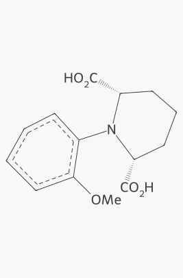 COc1ccccc1N1[C@@H](C(=O)O)CCC[C@H]1C(=O)O